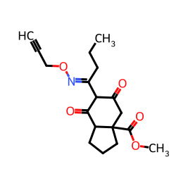 C#CCON=C(CCC)C1C(=O)CC2(C(=O)OC)CCCC2C1=O